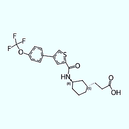 O=C(O)CC[C@@H]1CCC[C@@H](NC(=O)c2cc(-c3ccc(OC(F)(F)F)cc3)cs2)C1